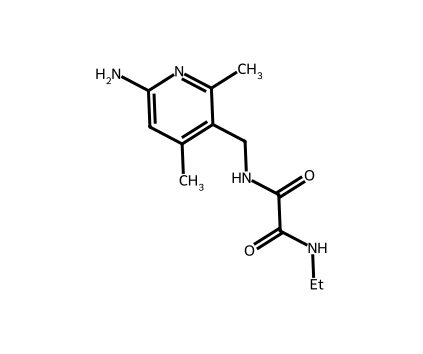 CCNC(=O)C(=O)NCc1c(C)cc(N)nc1C